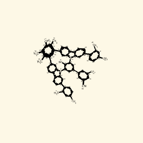 Cc1ccc(-c2ccc3c4ccc(-c5ccc(C)cc5C)cc4n(-c4cc(-c5cc(C#N)cc(C(F)(F)F)c5)cc(-n5c6cc(-c7ccc(C)cc7C)ccc6c6ccc(-c7ccc(C)cc7C)cc65)c4C#N)c3c2)c(C)c1